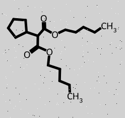 CCCCCOC(=O)C(C(=O)OCCCCC)C1CCCC1